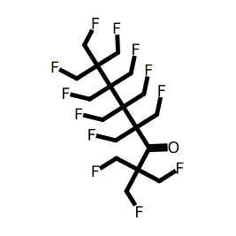 O=C(C(CF)(CF)CF)C(CF)(CF)C(CF)(CF)C(CF)(CF)C(CF)(CF)CF